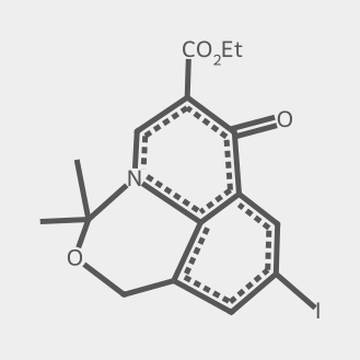 CCOC(=O)c1cn2c3c(cc(I)cc3c1=O)COC2(C)C